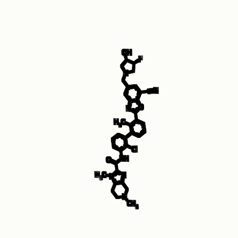 Cc1c(-c2nc3cc(CN4C[C@@H](O)[C@@H](F)C4)cc(C#N)c3o2)cccc1-c1cccc(NC(=O)c2nc3c(n2C)CCN(C)C3)c1Cl